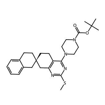 CSc1nc2c(c(N3CCN(C(=O)OC(C)(C)C)CC3)n1)CC[C@@]1(CCc3ccccc3C1)C2